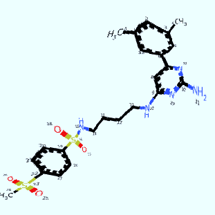 Cc1cc(C)cc(-c2cc(NCCCCNS(=O)(=O)c3ccc(S(C)(=O)=O)cc3)nc(N)n2)c1